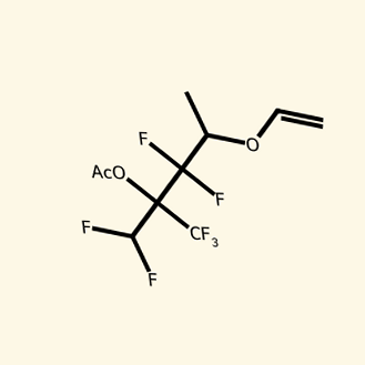 C=COC(C)C(F)(F)C(OC(C)=O)(C(F)F)C(F)(F)F